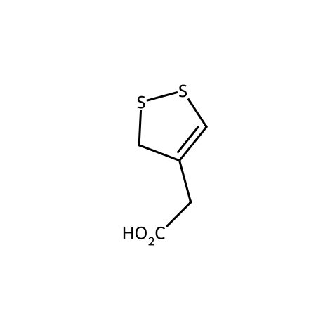 O=C(O)CC1=CSSC1